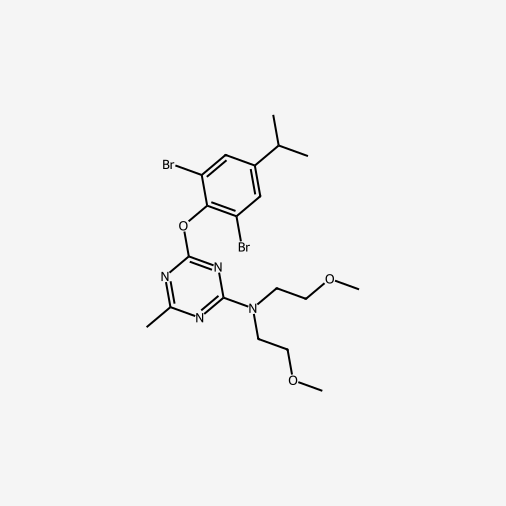 COCCN(CCOC)c1nc(C)nc(Oc2c(Br)cc(C(C)C)cc2Br)n1